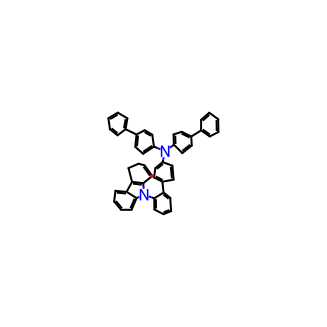 C1=Cc2c(c3ccccc3n2-c2ccccc2-c2ccc(N(c3ccc(-c4ccccc4)cc3)c3ccc(-c4ccccc4)cc3)cc2)CC1